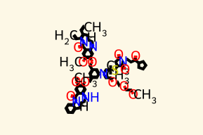 C=CC1=C(/C=C\C)C[C@H]2C=Nc3cc(OCc4cc(COc5cc6c(cc5OC)C(=O)N5c7ccccc7C[C@H]5CN6)cc(N(CCOCCOCCOC)CC(C)(C)SC5CC(=O)N(CCC(=O)C6CCCC6)C5=O)c4)c(OC)cc3C(=O)N12